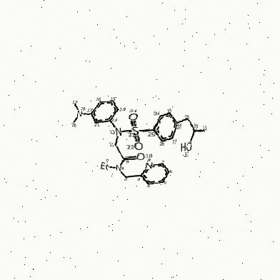 CCN(Cc1ccccn1)C(=O)CN(c1cccc(N(C)C)c1)S(=O)(=O)c1ccc(CC(C)O)cc1